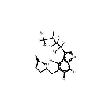 [2H]c1c(C[C@H]2COC(=O)N2)c([2H])c2c(C([2H])([2H])C([2H])([2H])N(C)C([2H])([2H])[2H])c[nH]c2c1[2H]